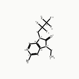 CCn1c(=O)n(CC(F)(F)C(F)(F)F)c2cnc(Br)cc21